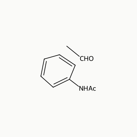 CC(=O)Nc1ccccc1.CC=O